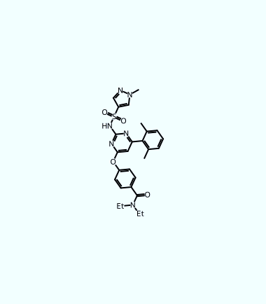 CCN(CC)C(=O)c1ccc(Oc2cc(-c3c(C)cccc3C)nc(NS(=O)(=O)c3cnn(C)c3)n2)cc1